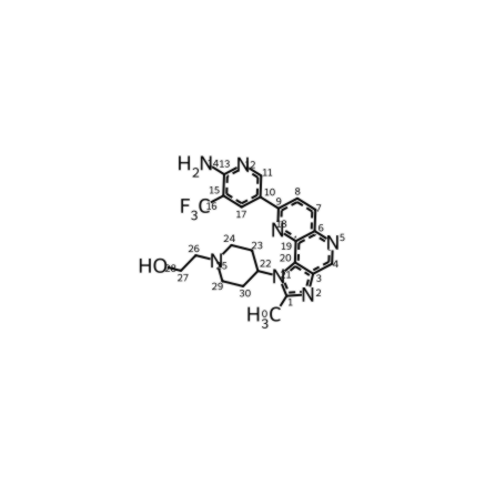 Cc1nc2cnc3ccc(-c4cnc(N)c(C(F)(F)F)c4)nc3c2n1C1CCN(CCO)CC1